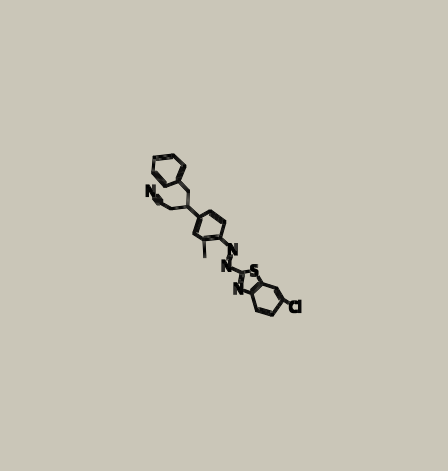 Cc1cc(C(CC#N)Cc2ccccc2)ccc1N=Nc1nc2ccc(Cl)cc2s1